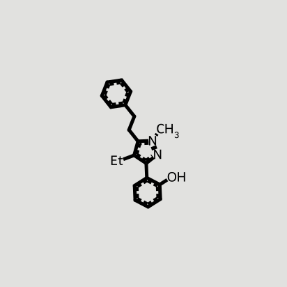 CCc1c(-c2ccccc2O)nn(C)c1CCc1ccccc1